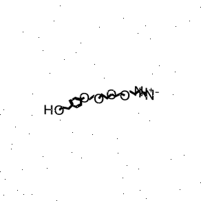 [N-]=[N+]=NCCOCCOCCOCCOc1ccc(CCO)cc1